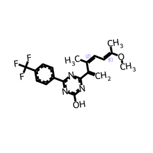 C=C(/C(C)=C\C=C(/C)OC)c1nc(O)nc(-c2ccc(C(F)(F)F)cc2)n1